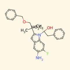 CC(C)(COCc1ccccc1)c1cc2cc(N)c(F)cc2n1[C@@](O)(Cc1ccccc1)C(=O)O